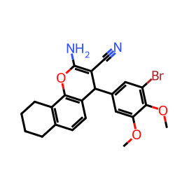 COc1cc(C2C(C#N)=C(N)Oc3c2ccc2c3CCCC2)cc(Br)c1OC